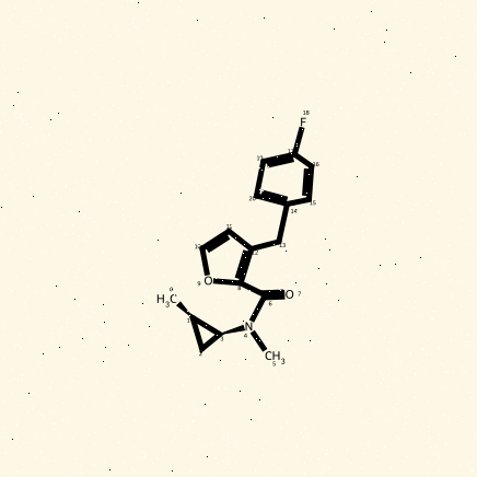 C[C@@H]1C[C@@H]1N(C)C(=O)c1occc1Cc1ccc(F)cc1